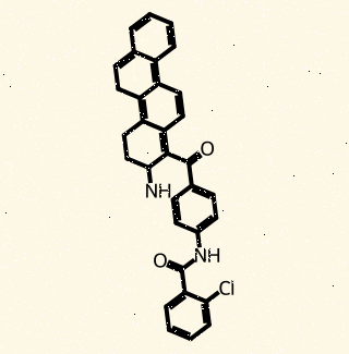 NC1CCc2c3c(ccc2=C1C(=O)c1ccc(NC(=O)c2ccccc2Cl)cc1)=c1ccccc1=CC3